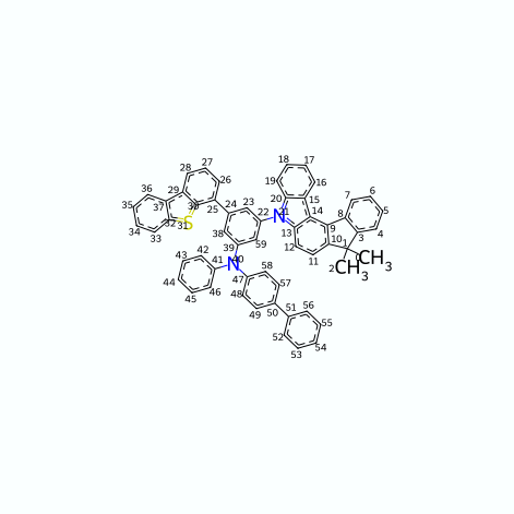 CC1(C)c2ccccc2-c2c1ccc1c2c2ccccc2n1-c1cc(-c2cccc3c2sc2ccccc23)cc(N(c2ccccc2)c2ccc(-c3ccccc3)cc2)c1